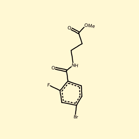 COC(=O)CCNC(=O)c1ccc(Br)cc1F